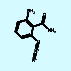 [N-]=[N+]=Nc1cccc(N)c1C(N)=O